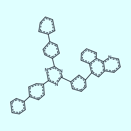 c1ccc(-c2ccc(-c3nc(-c4ccc(-c5ccccc5)cc4)nc(-c4cccc(-c5cc6cccnc6c6ccccc56)c4)n3)cc2)cc1